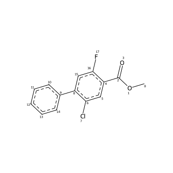 COC(=O)c1cc(Cl)c(-c2ccccc2)cc1F